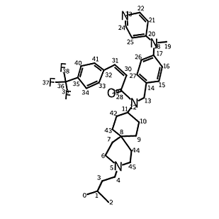 CC(C)CCN1CCC2(CCC(N(Cc3ccc(N(C)c4ccncc4)cc3)C(=O)C=Cc3ccc(C(F)(F)F)cc3)CC2)CC1